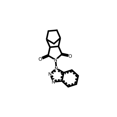 O=C1C2C3CCC(C3)C2C(=O)N1n1nnc2ccccc21